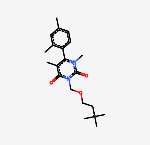 Cc1ccc(-c2c(C)c(=O)n(COCC[Si](C)(C)C)c(=O)n2C)c(C)c1